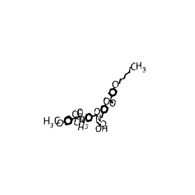 CCCCCCCOc1ccc(C(=O)Oc2ccc(CN(CC(=O)O)C(=O)c3ccc(NC(=O)C(C)(C)c4ccc(OC)cc4)cc3)cc2)cc1